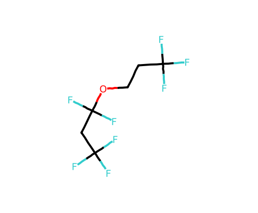 FC(F)(F)CCOC(F)(F)CC(F)(F)F